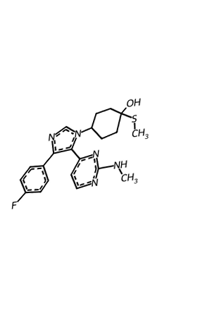 CNc1nccc(-c2c(-c3ccc(F)cc3)ncn2C2CCC(O)(SC)CC2)n1